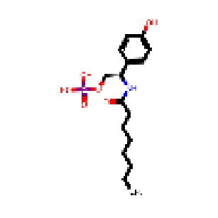 CCCCCCCC(=O)N[C@@H](COP(=O)(O)O)c1ccc(O)cc1